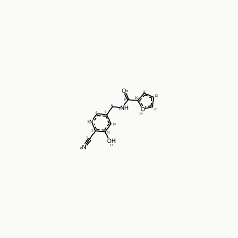 N#Cc1ncc(CNC(=O)c2ccco2)cc1O